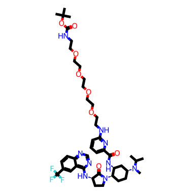 CC(C)N(C)[C@@H]1CC[C@H](N2CC[C@H](Nc3ncnc4ccc(C(F)(F)F)cc34)C2=O)[C@H](NC(=O)c2cccc(NCCOCCOCCOCCOCCNC(=O)OC(C)(C)C)n2)C1